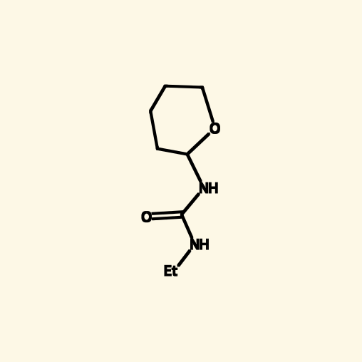 CCNC(=O)NC1CCCCO1